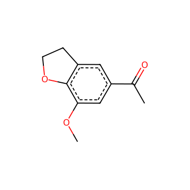 COc1cc(C(C)=O)cc2c1OCC2